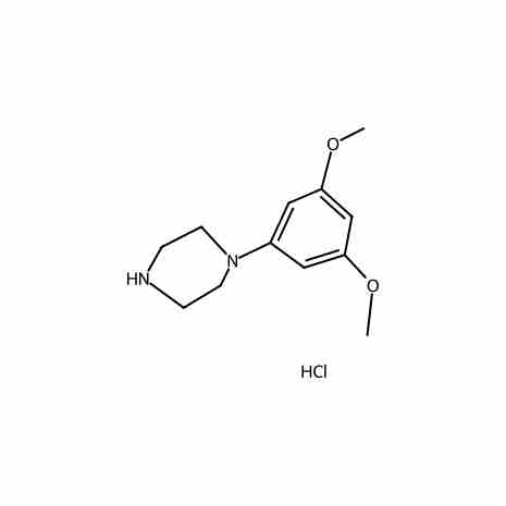 COc1cc(OC)cc(N2CCNCC2)c1.Cl